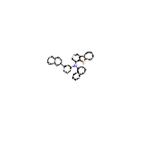 c1cc(-c2ccc3ccccc3c2)cc(N(c2cccc3ccccc23)c2cccc3c2sc2ccccc23)c1